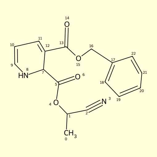 CC(C#N)OC(=O)C1NC=CC=C1C(=O)OCc1ccccc1